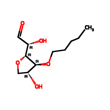 CCCCCO[C@@H]1[C@@H]([C@@H](O)C=O)OC[C@H]1O